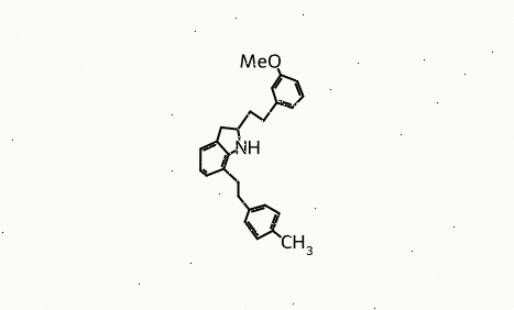 COc1cccc(CCC2Cc3cccc(CCc4ccc(C)cc4)c3N2)c1